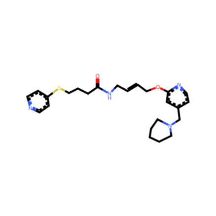 O=C(CCCSc1ccncc1)NCC=CCOc1cc(CN2CCCCC2)ccn1